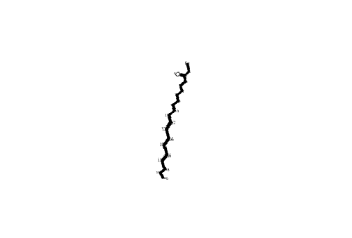 [CH2]CC(=O)CCCCCCCCCCCCCCCCC